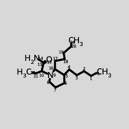 CCCCCC1CCCN(C(CC)C(N)=O)C1CCCCC